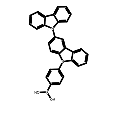 OB(O)c1ccc(-n2c3ccccc3c3cc(-n4c5ccccc5c5ccccc54)ccc32)cc1